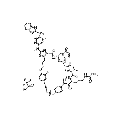 Cc1cc(N(C)c2nc(C(=O)O)c(CCCOc3ccc(C#CC(C)[N+](C)(C)Cc4ccc(NC(=O)[C@H](CCCNC(N)=O)NC(=O)[C@@H](NC(=O)CCOCCN5C(=O)C=CC5=O)C(C)C)cc4)cc3F)s2)nnc1Nc1nc2ccccc2s1.O=C(O)C(F)(F)F